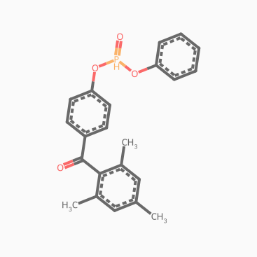 Cc1cc(C)c(C(=O)c2ccc(O[PH](=O)Oc3ccccc3)cc2)c(C)c1